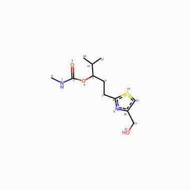 CNC(=O)OC(CCc1nc(CO)cs1)C(C)C